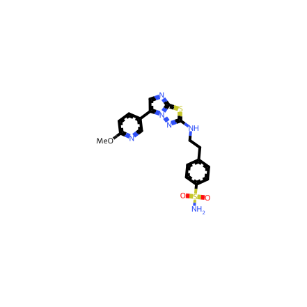 COc1ccc(-c2cnc3sc(NCCc4ccc(S(N)(=O)=O)cc4)nn23)cn1